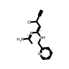 C#CC(Cl)/C=C(\N=C(/C)N)NCc1ccccn1